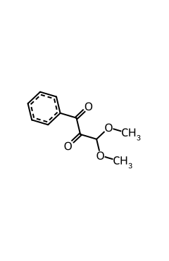 COC(OC)C(=O)C(=O)c1ccccc1